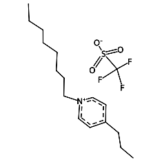 CCCCCCCC[n+]1ccc(CCC)cc1.O=S(=O)([O-])C(F)(F)F